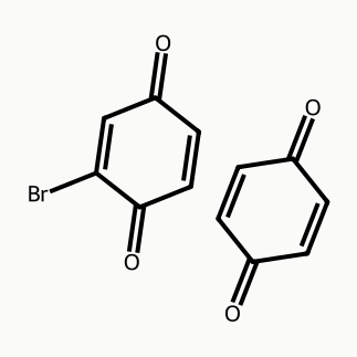 O=C1C=CC(=O)C(Br)=C1.O=C1C=CC(=O)C=C1